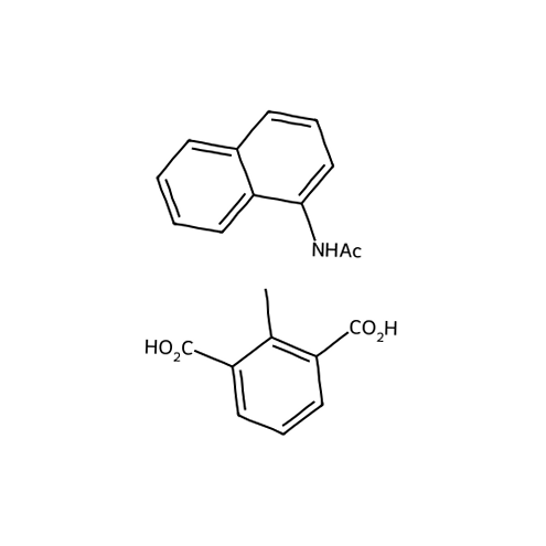 CC(=O)Nc1cccc2ccccc12.Cc1c(C(=O)O)cccc1C(=O)O